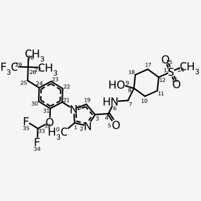 Cc1nc(C(=O)NCC2(O)CCC(S(C)(=O)=O)CC2)cn1-c1ccc(CC(C)(C)C(F)(F)F)cc1OC(F)F